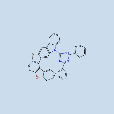 c1ccc(C2=NC(c3ccccc3)NC(n3c4ccccc4c4cc5sc6ccc7oc8ccccc8c7c6c5cc43)=N2)cc1